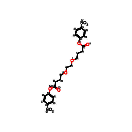 O=C(CCCOCCOCCCC(=O)Oc1ccc([N+](=O)[O-])cc1)Oc1ccc([N+](=O)[O-])cc1